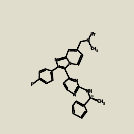 CC(C)N(C)Cc1ccn2c(-c3ccnc(N[C@@H](C)c4ccccc4)n3)c(-c3ccc(F)cc3)nc2c1